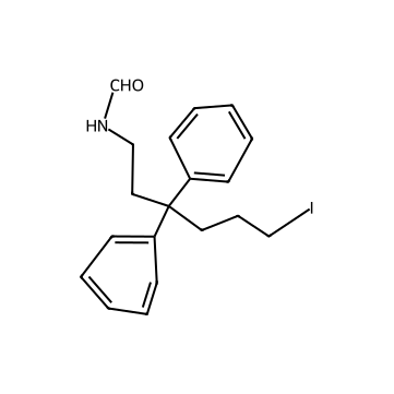 O=CNCCC(CCCI)(c1ccccc1)c1ccccc1